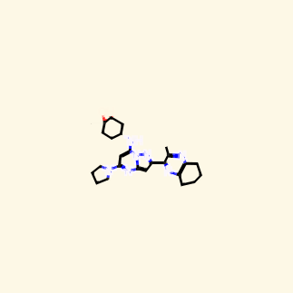 Cc1nc2c(nc1-c1cc3nc(N4CCCC4)cc(N[C@H]4CC[C@](C)(O)CC4)n3n1)CCCC2